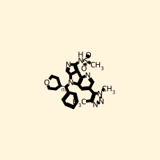 Cc1nnn(C)c1-c1cnc2c(c1)N([C@H](c1ccccc1)C1CCOCC1)C1C=NC(NS(C)(=O)=O)=C21